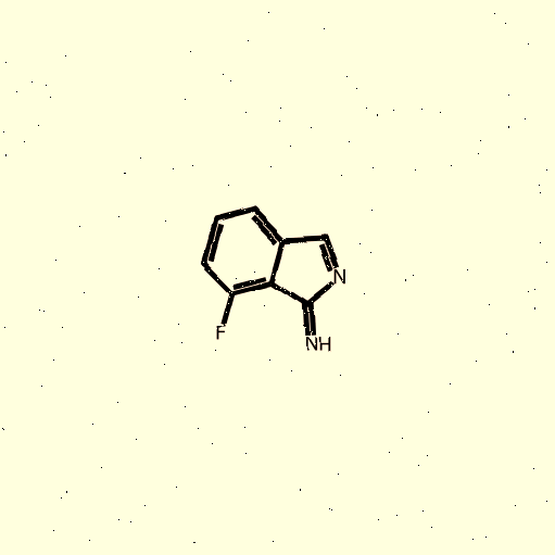 N=C1N=Cc2cccc(F)c21